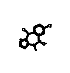 CN1c2ccsc2C(Cl)c2ccc(Cl)cc2[S+]1[O-]